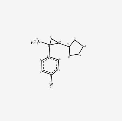 O=C(O)C1(c2ccc(Br)cc2)CC1C1CCCC1